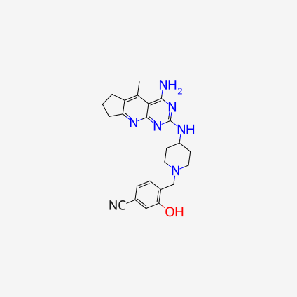 Cc1c2c(nc3nc(NC4CCN(Cc5ccc(C#N)cc5O)CC4)nc(N)c13)CCC2